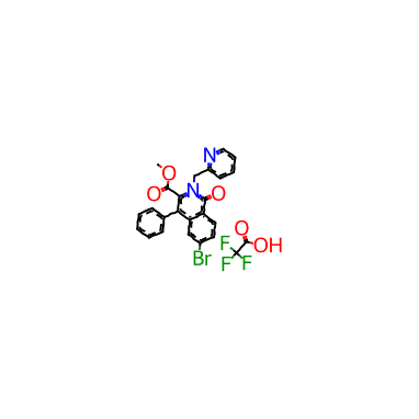 COC(=O)c1c(-c2ccccc2)c2cc(Br)ccc2c(=O)n1Cc1ccccn1.O=C(O)C(F)(F)F